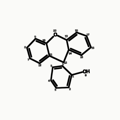 Oc1ccccc1.c1ccc2c(c1)Cc1ccccc1O2